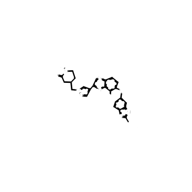 Cc1nc2ccc(Oc3ccc4ncc(-c5cnn(CC6CCN(C)C(=O)C6)c5)nc4c3Cl)cc2[nH]1